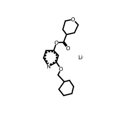 O=C(Oc1ccnc(OCC2CCCCC2)c1)C1CCOCC1.[Li]